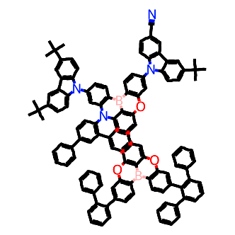 CC(C)(C)c1ccc2c(c1)c1cc(C#N)ccc1n2-c1ccc2c(c1)Oc1cc(-c3cc4c5c(c3)Oc3cc(-c6c(-c7ccccc7)cccc6-c6ccccc6)ccc3B5c3ccc(-c5ccccc5-c5ccccc5)cc3O4)cc3c1B2c1ccc(-n2c4ccc(C(C)(C)C)cc4c4cc(C(C)(C)C)ccc42)cc1N3c1ccc(-c2ccccc2)cc1-c1ccccc1